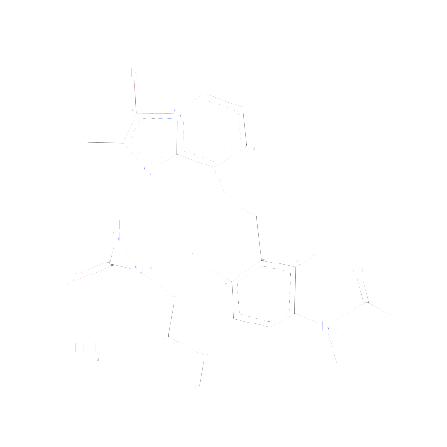 CC(=O)N(C)c1ccc(Cl)c(COc2cccn3c(Br)c(C)nc23)c1Cl.CCCCN1NC1=O.Cl